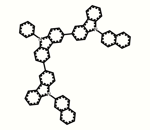 c1ccc(-n2c3ccc(-c4ccc5c(c4)c4ccccc4n5-c4ccc5ccccc5c4)cc3c3cc(-c4ccc5c(c4)c4ccccc4n5-c4ccc5ccccc5c4)ccc32)cc1